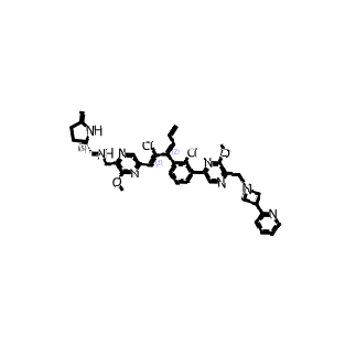 C=C/C=C(\C(Cl)=C\c1cnc(CNC[C@@H]2CCC(=C)N2)c(OC)n1)c1cccc(-c2cnc(CN3CC(c4ccccn4)C3)c(OC)n2)c1Cl